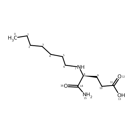 CCCCCCCN[C@@H](CCC(=O)O)C(N)=O